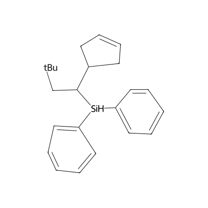 CC(C)(C)CC(C1CC=CC1)[SiH](c1ccccc1)c1ccccc1